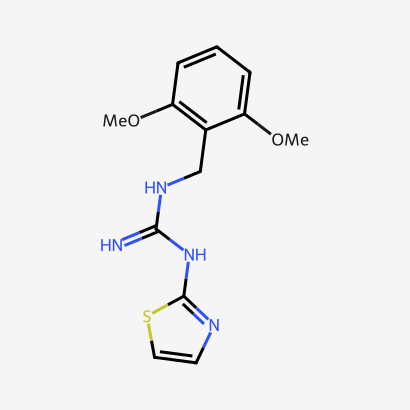 COc1cccc(OC)c1CNC(=N)Nc1nccs1